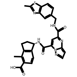 Cc1nc2cc(CNC(=O)c3cc(C(=O)N[C@H]4CCc5c4ccc(C(=O)O)c5C)n4nccc4n3)ccc2s1